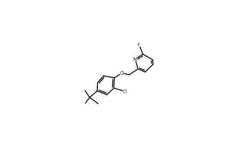 CC(C)(C)c1ccc(OCc2cccc(F)n2)c(Cl)c1